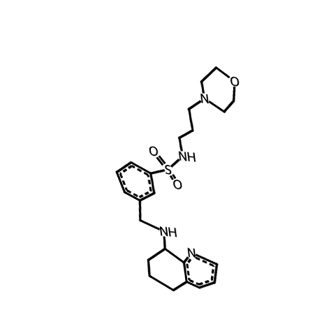 O=S(=O)(NCCCN1CCOCC1)c1cccc(CNC2CCCc3cccnc32)c1